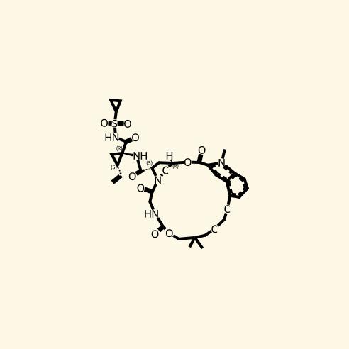 C=C[C@@H]1C[C@]1(NC(=O)[C@@H]1C[C@@H]2CN1C(=O)CNC(=O)OCC(C)(C)CCCCc1cccc3c1cc(n3C)C(=O)O2)C(=O)NS(=O)(=O)C1CC1